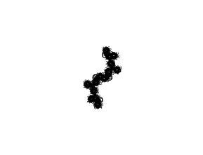 c1ccc(N(c2ccc(-c3cc4oc5ccccc5c4c4ccccc34)cc2)c2ccc3c(c2)oc2ccc4c(ccc5oc6cc(N(c7ccccc7)c7ccc(-c8cc9oc%10ccccc%10c9c9ccccc89)cc7)ccc6c54)c23)cc1